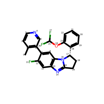 Cc1ccncc1-c1cc2c(cc1F)nc1n2[C@H](c2ccccc2OC(F)F)CC1